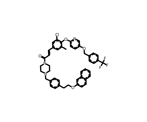 Cc1cc(C=CC(=O)N2CCN(Cc3ccc(CCOc4ccc5ccccc5c4)cc3)CC2)cc(Cl)c1Oc1ccc(OCc2ccc(C(F)(F)F)cc2)cn1